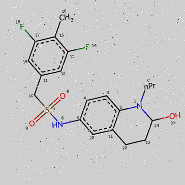 CCCN1c2ccc(NS(=O)(=O)Cc3cc(F)c(C)c(F)c3)cc2CCC1O